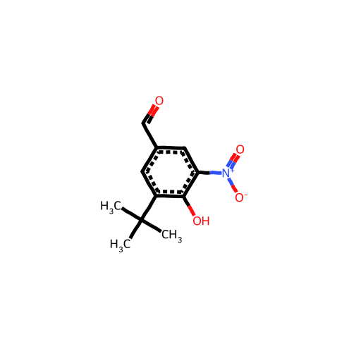 CC(C)(C)c1cc(C=O)cc([N+](=O)[O-])c1O